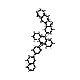 c1ccc2cc(-c3ccc(-c4c5ccccc5c(-c5ccc6oc7cc8ccncc8cc7c6c5)c5ccccc45)cc3)ccc2c1